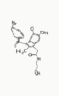 Cc1c(CC(=O)NCCO)c2cc(O)c(Cl)cc2n1C(=O)c1ccc(Br)cc1